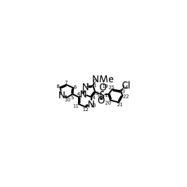 CNc1nn2c(-c3cccnc3)ccnc2c1S(=O)(=O)c1cccc(Cl)c1